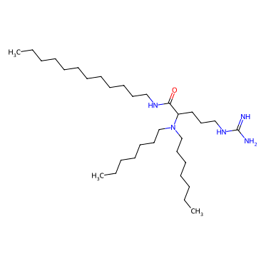 CCCCCCCCCCCCNC(=O)C(CCCNC(=N)N)N(CCCCCCC)CCCCCCC